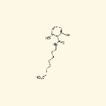 O=C(O)CCCCCCCNC(=O)c1c(O)cccc1O